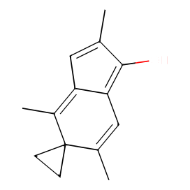 CC1=CC2=C(C)C3(CC3)C(C)=CC2=C1O